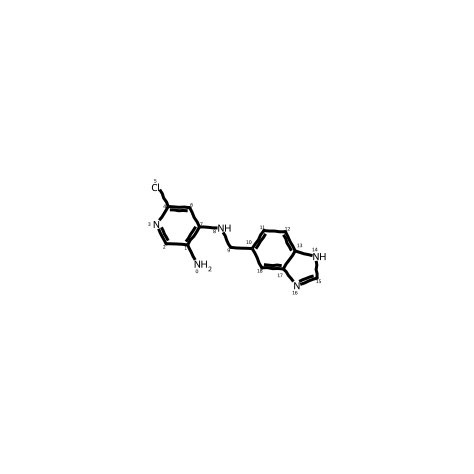 Nc1cnc(Cl)cc1NCc1ccc2[nH]cnc2c1